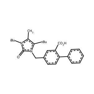 CCCCc1c(C)n(C(C)CC)c(=O)n1Cc1ccc(-c2ccccc2)c(C(=O)O)c1